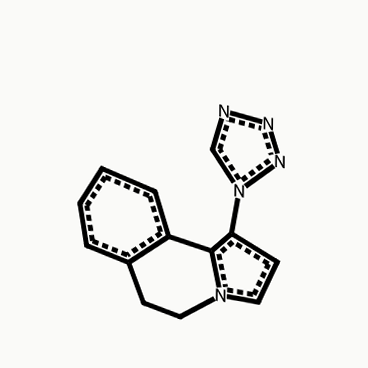 c1ccc2c(c1)CCn1ccc(-n3cnnn3)c1-2